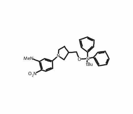 CNc1cc(N2CCC(CO[Si](c3ccccc3)(c3ccccc3)C(C)(C)C)C2)ccc1[N+](=O)[O-]